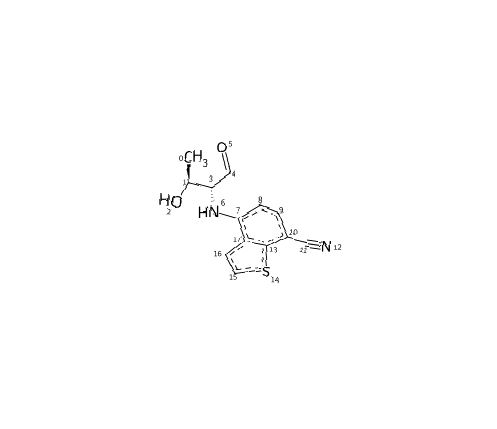 C[C@H](O)[C@H](C=O)Nc1ccc(C#N)c2sccc12